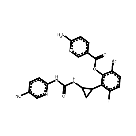 CC(=O)c1ccc(F)c(C2CC2NC(=O)Nc2ccc(C#N)cn2)c1OC(=O)c1ccc(N)nc1